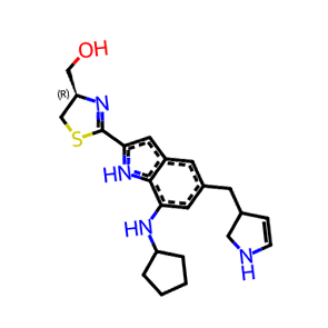 OC[C@@H]1CSC(c2cc3cc(CC4C=CNC4)cc(NC4CCCC4)c3[nH]2)=N1